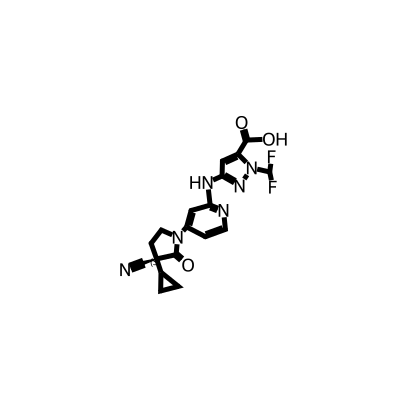 N#C[C@@]1(C2CC2)CCN(c2ccnc(Nc3cc(C(=O)O)n(C(F)F)n3)c2)C1=O